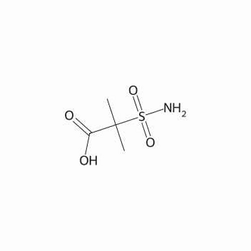 CC(C)(C(=O)O)S(N)(=O)=O